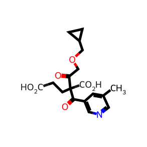 Cc1cncc(C(=O)C(CCC(=O)O)(C(=O)O)C(=O)COCC2CC2)c1